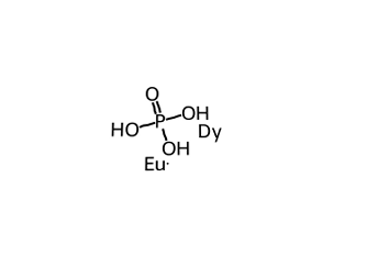 O=P(O)(O)O.[Dy].[Eu]